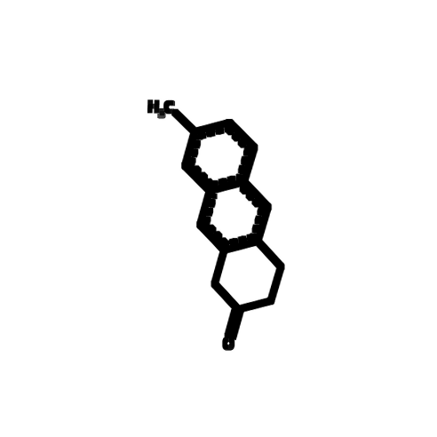 Cc1ccc2cc3c(cc2c1)CC(=O)CC3